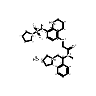 CN(C(=O)COc1ccc(NS(=O)(=O)N2CCCC2)c2c1CCCN2)C(CN1CC[C@H](O)C1)c1ccccc1